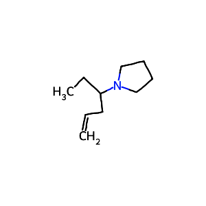 C=CCC(CC)N1CCCC1